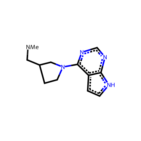 CNCC1CCN(c2ncnc3[nH]ccc23)C1